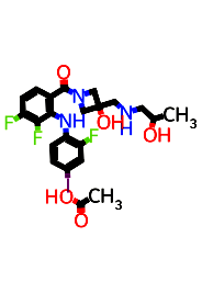 CC(=O)O.CC(O)CNCC1(O)CN(C(=O)c2ccc(F)c(F)c2Nc2ccc(I)cc2F)C1